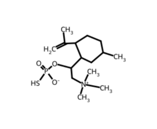 C=C(C)C1CCC(C)CC1C(C[N+](C)(C)C)OP(=O)([O-])S